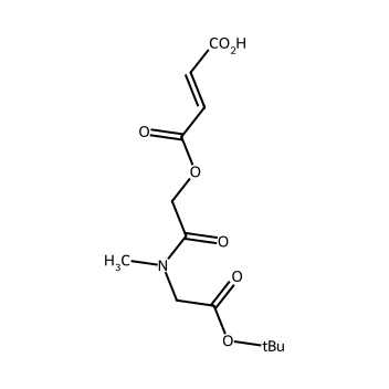 CN(CC(=O)OC(C)(C)C)C(=O)COC(=O)C=CC(=O)O